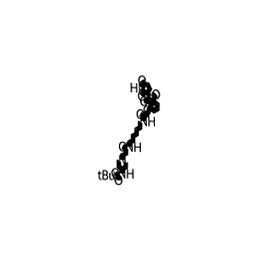 CC(C)(C)OC(=O)NC1CCN(CCC(=O)NCCCCCCCNC(=O)COc2cccc3c2C(=O)N(C2CCC(=O)NC2=O)C3=O)CC1